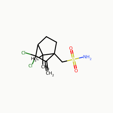 C=C1C(Cl)(Cl)C2CCC1(CS(N)(=O)=O)C2(C)C